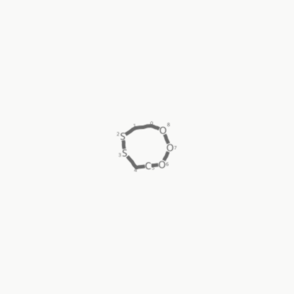 C1CSSCCOOO1